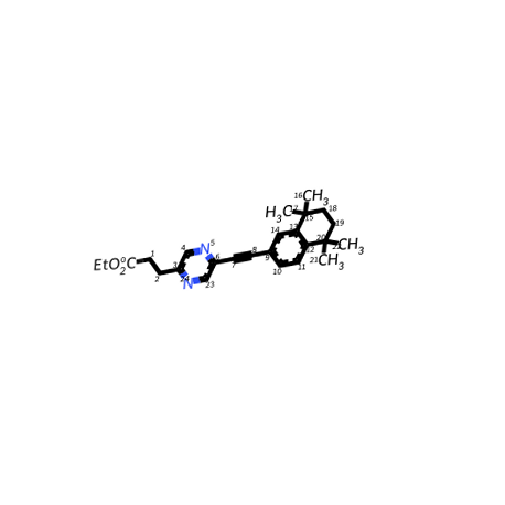 CCOC(=O)CCc1cnc(C#Cc2ccc3c(c2)C(C)(C)CCC3(C)C)cn1